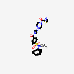 CN(c1ccccc1)S(=O)(=O)c1ccc(C(=O)N2CC(N3CCN(C(=O)c4nccs4)CC3)C2)cc1